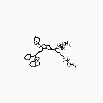 CC(=O)OCCCCC(COS(C)(=O)=O)C1=CC2CC(OC3CCCCO3)C(C=CC(OC3CCCCO3)C3CCCCC3)C2C1